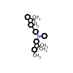 Cc1ccc2c(c1)C(C)(C)c1cc(N(c3ccccc3)c3ccc(-c4ccc5c(c4)C(C)(C)c4ccccc4-5)cc3)ccc1-2